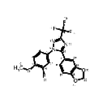 CSc1ccc(-n2nc(C(F)(F)F)nc2-c2ccc3c(c2)OCO3)cc1F